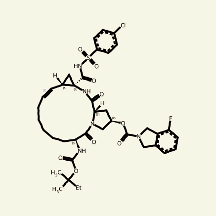 CCC(C)(C)OC(=O)N[C@H]1CCCCC/C=C\[C@@H]2C[C@@]2(C(=O)NS(=O)(=O)c2ccc(Cl)cc2)NC(=O)[C@@H]2C[C@@H](OC(=O)N3Cc4cccc(F)c4C3)CN2C1=O